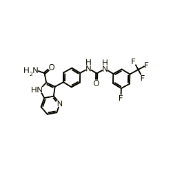 NC(=O)c1[nH]c2cccnc2c1-c1ccc(NC(=O)Nc2cc(F)cc(C(F)(F)F)c2)cc1